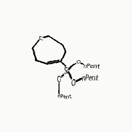 CCCCCO[Si](OCCCCC)(OCCCCC)C1=CCCCCCC1